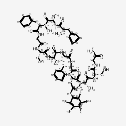 CC(C)C[C@H](NC(=O)CNC(=O)[C@H](Cc1ccccc1)N(C)C(=O)[C@H](C)NC(=O)[C@@H](N)Cc1ccccc1)C(=O)N[C@@H](C)C(=O)N[C@H](C(=O)N[C@@H](Cc1ccccc1)C(=O)N[C@@H](CC(=O)Sc1c(F)c(F)c(F)c(F)c1F)C(=O)N(C)[C@@H](C)C(=O)N[C@@H](CO)C(=O)NCC(N)=O)C(C)C